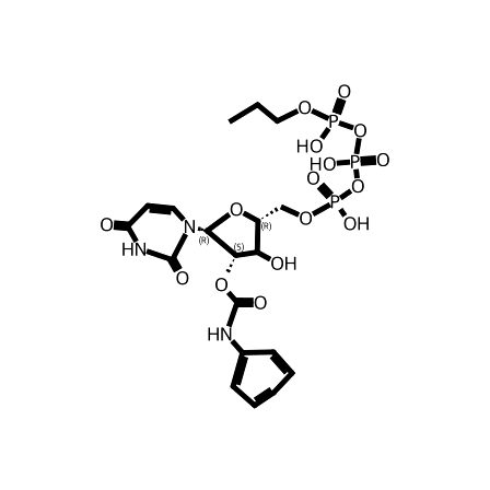 CCCOP(=O)(O)OP(=O)(O)OP(=O)(O)OC[C@H]1O[C@@H](n2ccc(=O)[nH]c2=O)[C@@H](OC(=O)Nc2ccccc2)C1O